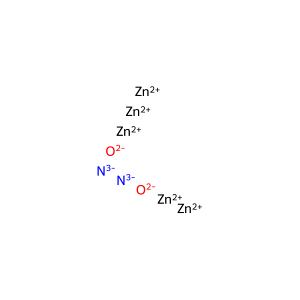 [N-3].[N-3].[O-2].[O-2].[Zn+2].[Zn+2].[Zn+2].[Zn+2].[Zn+2]